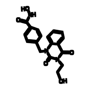 O=C(NO)c1ccc(Cn2c(=O)n(CCO)c(=O)c3ccccc32)cc1